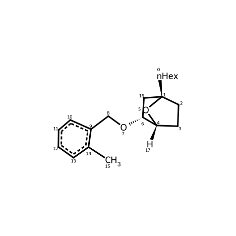 CCCCCC[C@@]12CC[C@@H](O1)[C@H](OCc1ccccc1C)C2